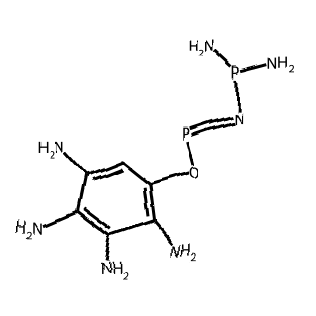 Nc1cc(OP=NP(N)N)c(N)c(N)c1N